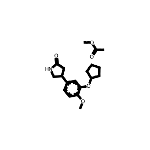 COC(C)=O.COc1ccc(C2CNC(=O)C2)cc1OC1CCCC1